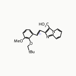 COc1cccc(/C=C/c2nc3ccccn3c2C(=O)O)c1OCC(C)(C)C